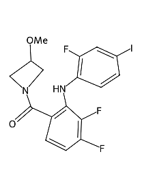 COC1CN(C(=O)c2ccc(F)c(F)c2Nc2ccc(I)cc2F)C1